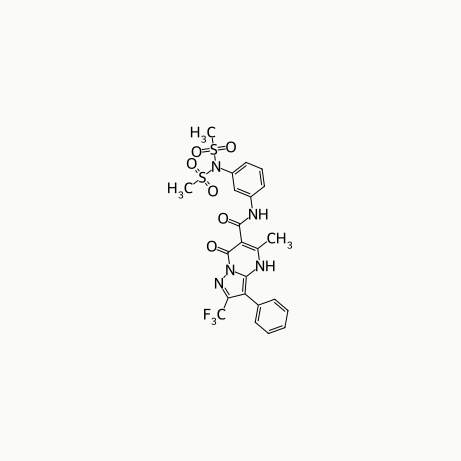 Cc1[nH]c2c(-c3ccccc3)c(C(F)(F)F)nn2c(=O)c1C(=O)Nc1cccc(N(S(C)(=O)=O)S(C)(=O)=O)c1